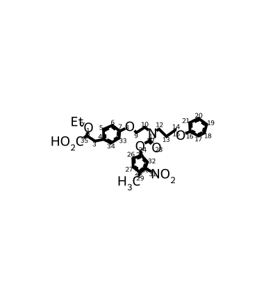 CCOC(Cc1ccc(OCCN(CCCOc2ccccc2)C(=O)Oc2ccc(C)c([N+](=O)[O-])c2)cc1)C(=O)O